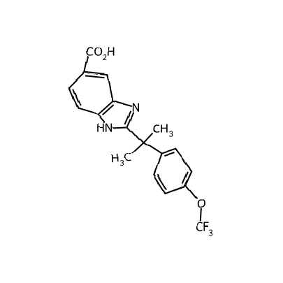 CC(C)(c1ccc(OC(F)(F)F)cc1)c1nc2cc(C(=O)O)ccc2[nH]1